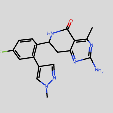 Cc1nc(N)nc2c1C(=O)NC(c1ccc(F)cc1-c1cnn(C)c1)C2